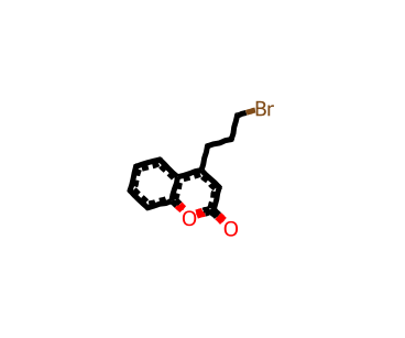 O=c1cc(CCCBr)c2ccccc2o1